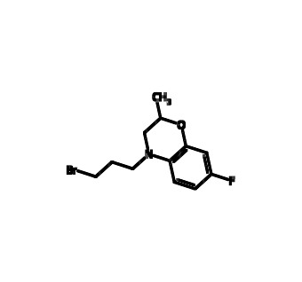 CC1CN(CCCBr)c2ccc(F)cc2O1